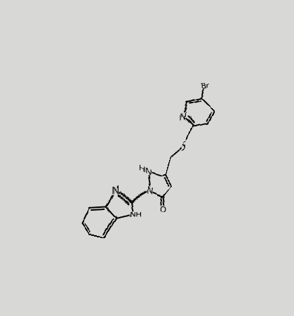 O=c1cc(CSc2ccc(Br)cn2)[nH]n1-c1nc2ccccc2[nH]1